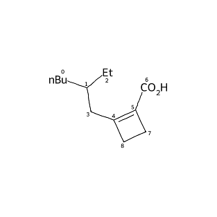 CCCCC(CC)CC1=C(C(=O)O)CC1